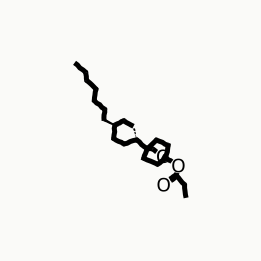 CCCCCCC[C@H]1CC[C@H](C23CCC(OC(=O)CC)(CC2)CC3)CC1